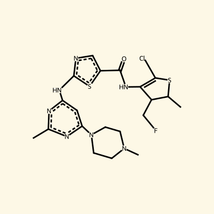 Cc1nc(Nc2ncc(C(=O)NC3=C(Cl)SC(C)C3CF)s2)cc(N2CCN(C)CC2)n1